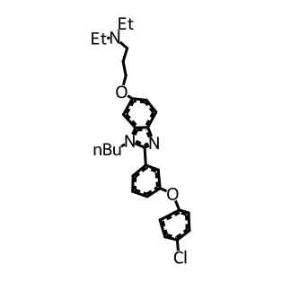 CCCCn1c(-c2cccc(Oc3ccc(Cl)cc3)c2)nc2ccc(OCCCN(CC)CC)cc21